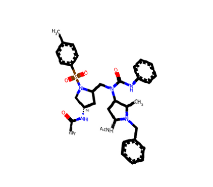 CCCC(=O)N[C@H]1CC(CN(C(=O)Nc2ccccc2)C2CC(NC(C)=O)N(Cc3ccccc3)C2C)N(S(=O)(=O)c2ccc(C)cc2)C1